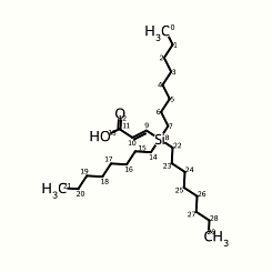 CCCCCCCC[Si](C=CC(=O)O)(CCCCCCCC)CCCCCCCC